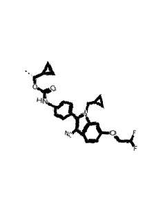 C[C@@H](OC(=O)Nc1ccc(-c2c(C#N)c3ccc(OCC(F)F)cc3n2CC2CC2)cc1)C1CC1